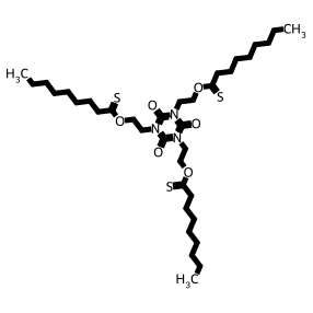 CCCCCCCCC(=S)OCCn1c(=O)n(CCOC(=S)CCCCCCCC)c(=O)n(CCOC(=S)CCCCCCCC)c1=O